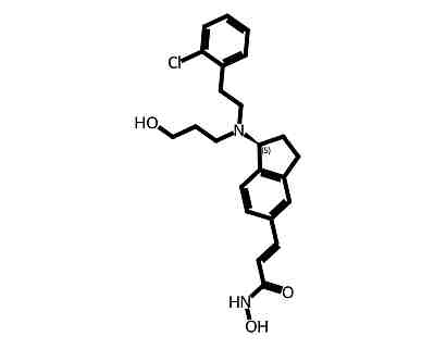 O=C(C=Cc1ccc2c(c1)CC[C@@H]2N(CCCO)CCc1ccccc1Cl)NO